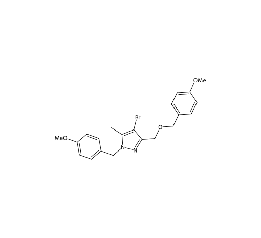 COc1ccc(COCc2nn(Cc3ccc(OC)cc3)c(C)c2Br)cc1